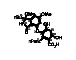 CCCCCc1c(Oc2cc(OC)cc3c2C(=O)PC3(CCCC)OC)c(O)cc(O)c1C(=O)O